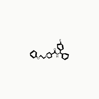 O=C(N[C@H](c1ccccc1)c1ccc(F)cc1)C1CCN(CCOc2ccccc2)CC1